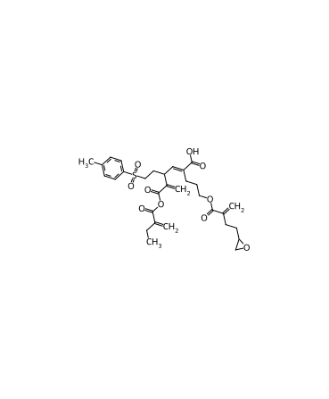 C=C(CCC1CO1)C(=O)OCCCC(=CC(CCS(=O)(=O)c1ccc(C)cc1)C(=C)C(=O)OC(=O)C(=C)CC)C(=O)O